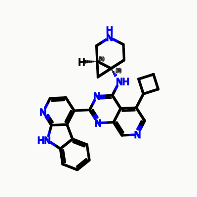 c1ccc2c(c1)[nH]c1nccc(-c3nc(N[C@@]45CCNC[C@@H]4C5)c4c(C5CCC5)cncc4n3)c12